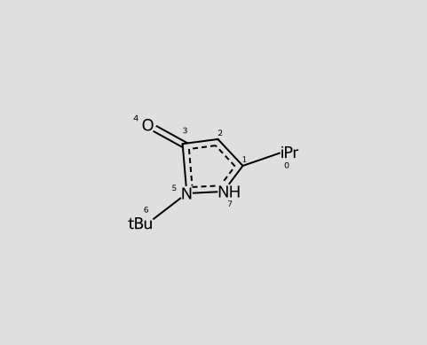 CC(C)c1cc(=O)n(C(C)(C)C)[nH]1